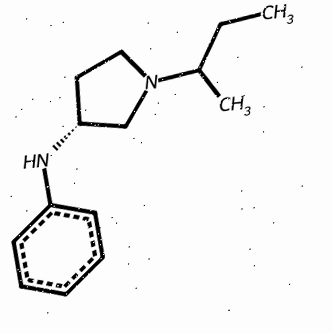 CCC(C)N1CC[C@@H](Nc2ccccc2)C1